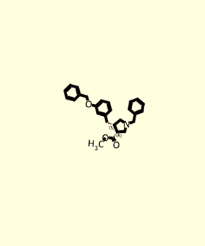 COC(=O)[C@H]1CN(Cc2ccccc2)C[C@H]1Cc1cccc(OCc2ccccc2)c1